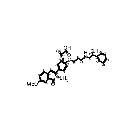 COc1ccc2cc(-c3ccc(OCCCNCC(O)c4ccccc4)cc3)n(C)c(=O)c2c1.O=C(O)C(=O)O